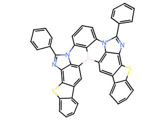 c1ccc(-c2nc3c4sc5ccccc5c4cc4c3n2-c2cccc3c2B4c2cc4c5ccccc5sc4c4nc(-c5ccccc5)n-3c24)cc1